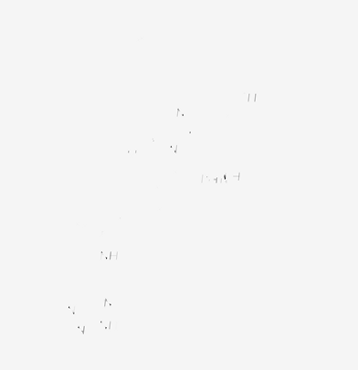 CCCCCC(c1ccc(C(=O)NCc2nn[nH]n2)cc1)N1C(=O)C(c2cc(Cl)cc(Cl)c2)=NC12CC(C)CC(C)C2